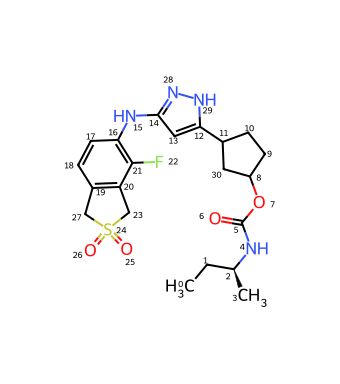 CC[C@H](C)NC(=O)OC1CCC(c2cc(Nc3ccc4c(c3F)CS(=O)(=O)C4)n[nH]2)C1